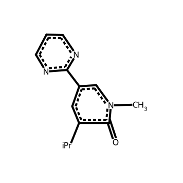 CC(C)c1cc(-c2ncccn2)cn(C)c1=O